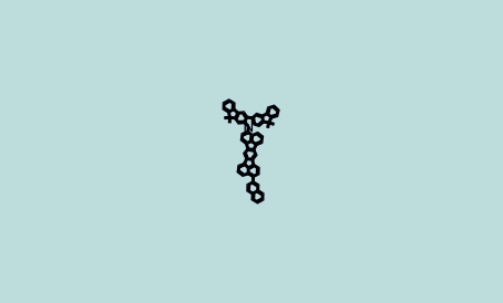 CC1(C)c2ccccc2-c2cc3c4cc5c(cc4n(-c4ccc6c7cc8c(cc7c7cccc4c76)c4ccc(-c6ccc7ccccc7c6)c6cccc8c64)c3cc21)C(C)(C)c1ccccc1-5